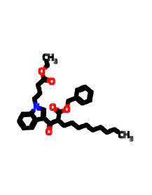 CCCCCCCCCC(C(=O)OCc1ccccc1)C(=O)c1cn(CCCC(=O)OCC)c2ccccc12